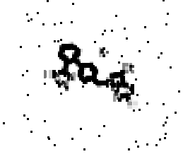 CCc1nc2c(CC)cn(Cc3ccc(-c4ccccc4-c4nnn[nH]4)cc3)n2n1.[K]